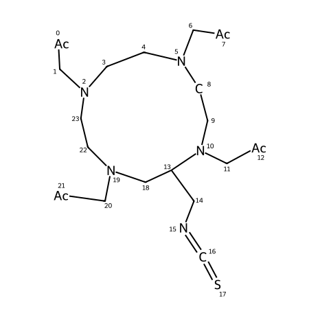 CC(=O)CN1CCN(CC(C)=O)CCN(CC(C)=O)C(CN=C=S)CN(CC(C)=O)CC1